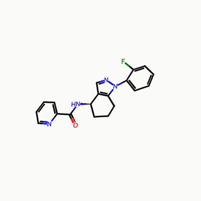 O=C(N[C@@H]1CCCc2c1cnn2-c1ccccc1F)c1ccccn1